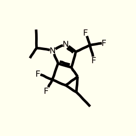 CC1C2c3c(C(F)(F)F)nn(C(C)C)c3C(F)(F)C12